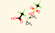 CSC.O=C(O)C(F)(F)F.O=S(=O)(O)C(F)(F)F